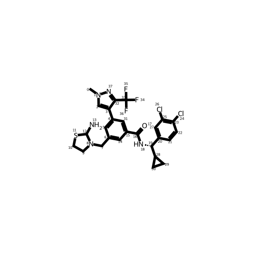 Cn1cc(-c2cc(CN3CCSC3N)cc(C(=O)N[C@H](c3ccc(Cl)c(Cl)c3)C3CC3)c2)c(C(F)(F)F)n1